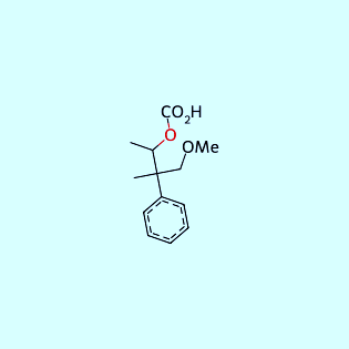 COCC(C)(c1ccccc1)C(C)OC(=O)O